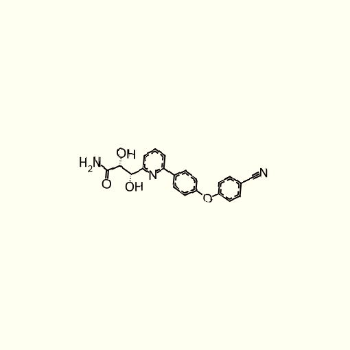 N#Cc1ccc(Oc2ccc(-c3cccc([C@H](O)[C@@H](O)C(N)=O)n3)cc2)cc1